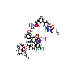 CNC(=O)c1ncc(-c2cccc(CC(=O)NCCCOc3ccc4c(c3)C3(CCC(Nc5cccc(Cl)c5)(C(=O)O)CC3)[C@@H](C[C@@H](C)COc3ccnc5c3[C@H](C)CCC5)C4)c2)cn1